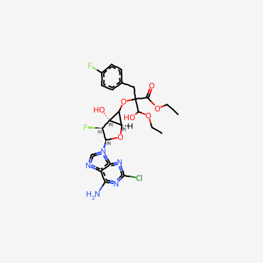 CCOC(=O)C(Cc1ccc(F)cc1)(OC1[C@H]2O[C@@H](n3cnc4c(N)nc(Cl)nc43)[C@@H](F)[C@@]12O)C(O)OCC